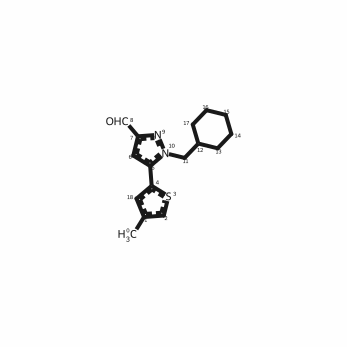 Cc1csc(-c2cc(C=O)nn2CC2CCCCC2)c1